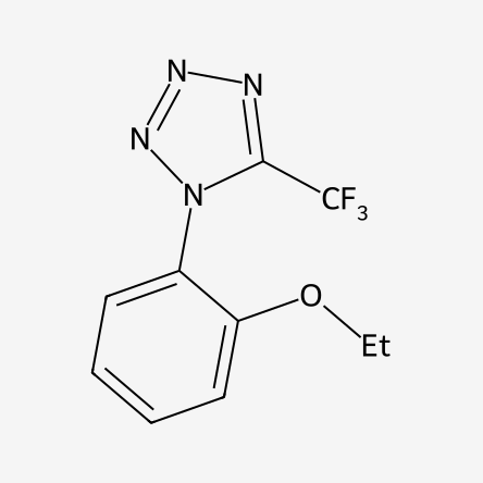 CCOc1ccccc1-n1nnnc1C(F)(F)F